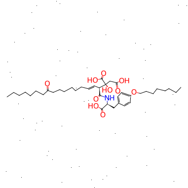 CCCCCCCCOc1ccc(C[C@H](NC(=O)[C@@H](/C=C/CCCCCCC(=O)CCCCCCC)[C@@](O)(CC(=O)O)C(=O)O)C(=O)O)cc1